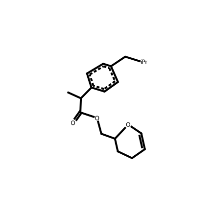 CC(C)Cc1ccc(C(C)C(=O)OCC2CCC=CO2)cc1